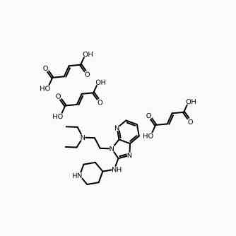 CCN(CC)CCn1c(NC2CCNCC2)nc2cccnc21.O=C(O)C=CC(=O)O.O=C(O)C=CC(=O)O.O=C(O)C=CC(=O)O